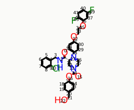 O=C(NCc1ccccc1Cl)[C@H]1CN(C(=O)Oc2ccc(CO)cc2)CCN1c1ccc(OCCOc2cc(F)ccc2F)cc1